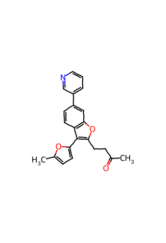 CC(=O)CCc1oc2cc(-c3cccnc3)ccc2c1-c1ccc(C)o1